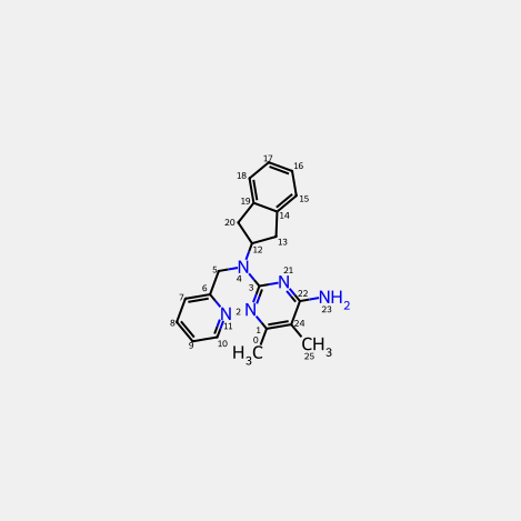 Cc1nc(N(Cc2ccccn2)C2Cc3ccccc3C2)nc(N)c1C